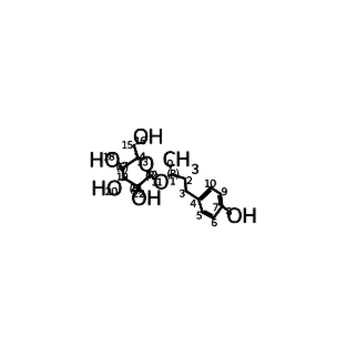 C[C@H](CCc1ccc(O)cc1)O[C@@H]1OC(CO)[C@@H](O)C(O)[C@@H]1O